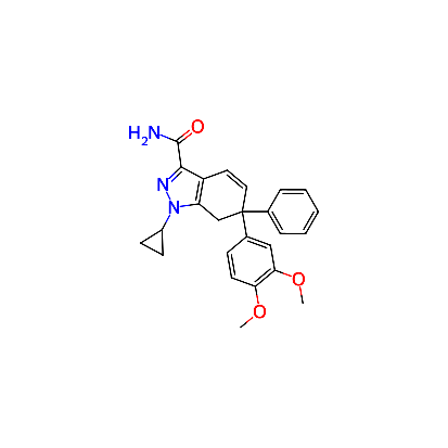 COc1ccc(C2(c3ccccc3)C=Cc3c(C(N)=O)nn(C4CC4)c3C2)cc1OC